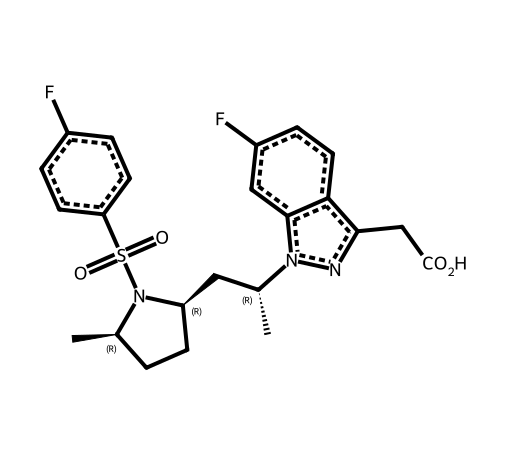 C[C@@H]1CC[C@H](C[C@@H](C)n2nc(CC(=O)O)c3ccc(F)cc32)N1S(=O)(=O)c1ccc(F)cc1